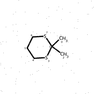 CC1(C)SCCCS1